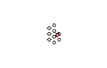 CC(C)(C)c1ccc(N(c2ccc(C(C)(C)C)cc2)c2cc3c4c(c2)N(c2cc(N(c5ccc(C(C)(C)C)cc5)c5ccc(C(C)(C)C)cc5)cc5oc6ccccc6c25)c2ccc(C(C)(C)C)cc2B4c2cc(C(C)(C)C)ccc2N3c2ccc(C(C)(C)C)cc2)cc1